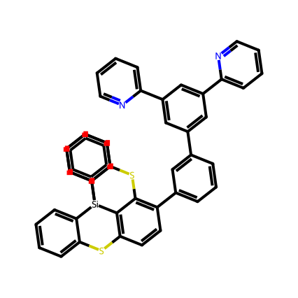 c1ccc([Si]23c4ccccc4Sc4ccc(-c5cccc(-c6cc(-c7ccccn7)cc(-c7ccccn7)c6)c5)c(c42)Sc2ccccc23)cc1